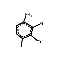 CCc1c(C)ccc(P)c1CC